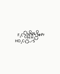 CCCN1C(=O)/C(=N/NC(=O)Nc2cccc(C(F)(F)F)c2Cl)c2cc(SCCc3ccc(C(=O)O)cc3)ccc21